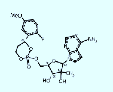 COc1ccc(F)c([C@H]2CCOP(=O)(OC[C@H]3O[C@@H](n4ccc5c(N)ncnc54)[C@](C)(O)[C@@H]3O)O2)c1